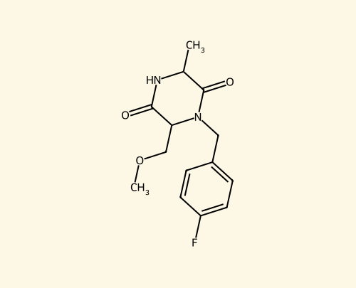 COCC1C(=O)NC(C)C(=O)N1Cc1ccc(F)cc1